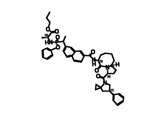 CCCOC(=O)[C@H](C)NP(=O)(Oc1ccccc1)C(C)c1ccc2ccc(C(=O)N[C@H]3CCCC[C@H]4CC[C@@H](C(=O)N5C[C@@H](c6ccccc6)CC56CC6)N4C3=O)cc2c1